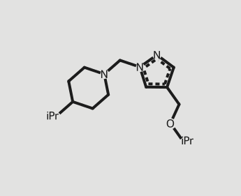 CC(C)OCc1cnn(CN2CCC(C(C)C)CC2)c1